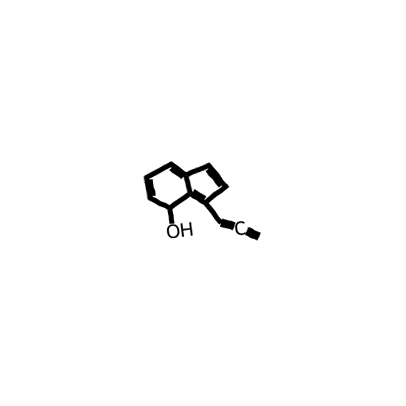 C=C=CC1=C2C(=CC=CC2O)C=C1